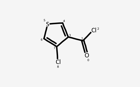 O=C(Cl)c1cscc1Cl